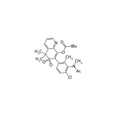 CC(=O)N(C)c1c(Cl)ccc(C2=C(OC(=O)C(C)(C)C)c3ncccc3C(C)(C)S2(=O)=O)c1C